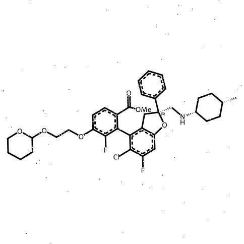 COC(=O)c1ccc(OCCOC2CCCCO2)c(F)c1-c1c(Cl)c(F)cc2c1C[C@@](CN[C@H]1CC[C@@H](C)CC1)(c1ccccc1)O2